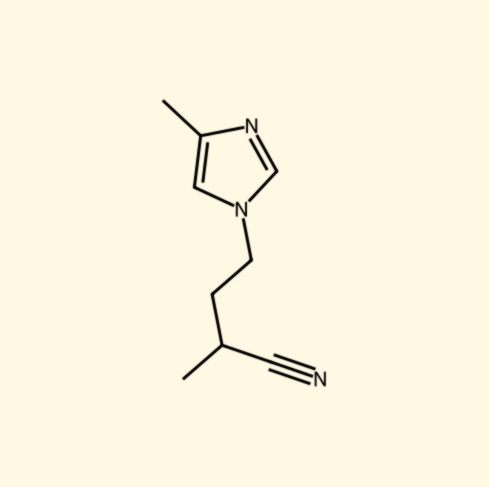 Cc1cn(CCC(C)C#N)cn1